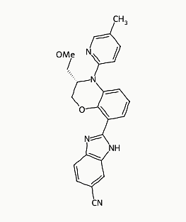 COC[C@H]1COc2c(-c3nc4ccc(C#N)cc4[nH]3)cccc2N1c1ccc(C)cn1